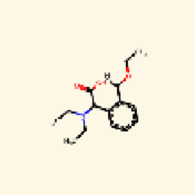 CCOC(C)c1ccccc1C(C(=O)O)N(CC)CC